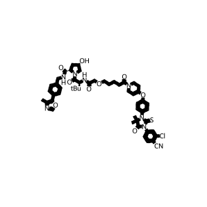 Cc1ncoc1-c1ccc(CNC(=O)[C@@H]2C[C@@H](O)CN2C(=O)[C@@H](NC(=O)COCCCCC(=O)N2CC=C(Oc3ccc(N4C(=S)N(c5ccc(C#N)c(Cl)c5)C(=O)C4(C)C)cc3)CC2)C(C)(C)C)cc1